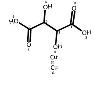 O=C(O)C(O)C(O)C(=O)O.[Cu].[Cu]